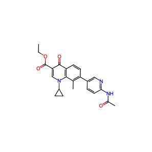 CCOC(=O)c1cn(C2CC2)c2c(C)c(-c3ccc(NC(C)=O)nc3)ccc2c1=O